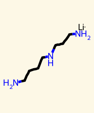 NCCCCNCCCN.[Li]